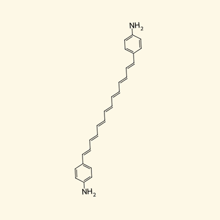 Nc1ccc(/C=C/C=C/C=C/C=C/C=C/C=C/C=C/c2ccc(N)cc2)cc1